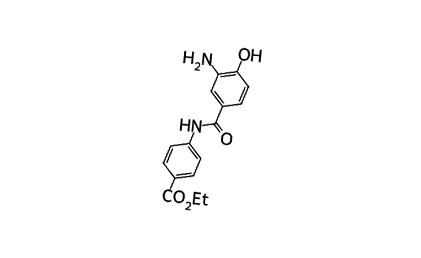 CCOC(=O)c1ccc(NC(=O)c2ccc(O)c(N)c2)cc1